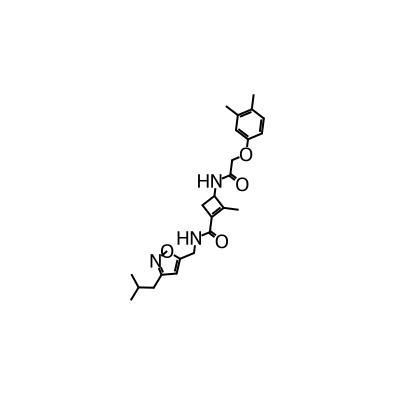 CC1=C(C(=O)NCc2cc(CC(C)C)no2)CC1NC(=O)COc1ccc(C)c(C)c1